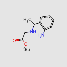 CC(NCC(=O)OC(C)(C)C)c1ccccc1N